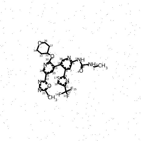 CCNC(=O)Nc1cc(-c2nc(C(F)(F)F)cs2)c(-c2cc(-c3nnc(C)o3)cnc2OC2CCOCC2)cn1